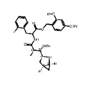 COc1ccc(COC(=O)C(Cc2ccccc2F)NC(=O)[C@H](C)[C@@H](OC)[C@@H]2C[C@@H]3C[C@@H]3N2)c(OC)c1